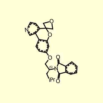 CC(C)C[C@@H](COc1ccc2c(c1)OC1(COC1)c1ccncc1-2)N1C(=O)c2ccccc2C1=O